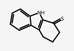 S=C1CCCc2c1[nH]c1ccccc21